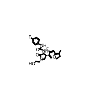 C=C(/C(F)=C\C1=C(C)CCO1)[C@@H]1CN(CCO)C(=O)[C@H]1NC(=O)Nc1ccc(F)cc1